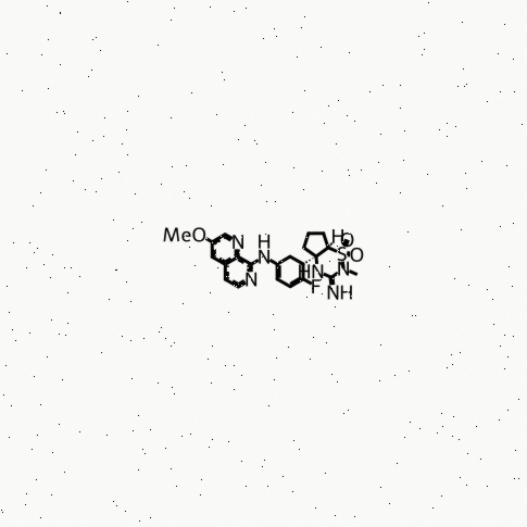 COc1cnc2c(NC3=CC=C(F)C([C@]45CCC[C@H]4S(=O)(=O)N(C)C(=N)N5)C3)nccc2c1